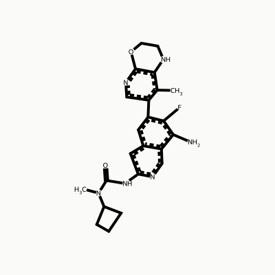 Cc1c(-c2cc3cc(NC(=O)N(C)C4CCC4)ncc3c(N)c2F)cnc2c1NCCO2